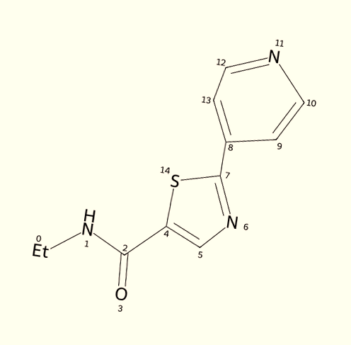 CCNC(=O)c1cnc(-c2ccncc2)s1